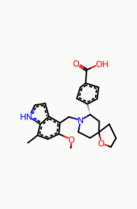 COc1cc(C)c2[nH]ccc2c1CN1CCC2(CCCO2)C[C@H]1c1ccc(C(=O)O)cc1